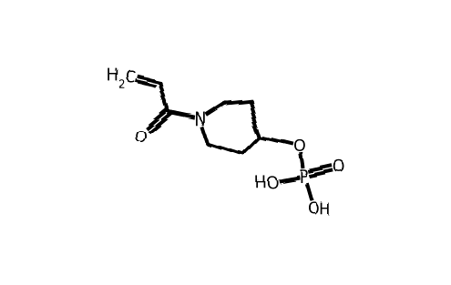 C=CC(=O)N1CCC(OP(=O)(O)O)CC1